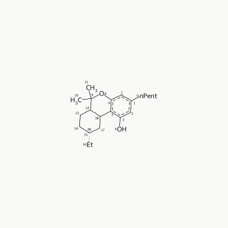 CCCCCc1cc(O)c2c(c1)OC(C)(C)C1CC[C@@H](CC)CC21